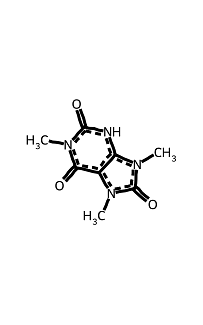 Cn1c(=O)[nH]c2c(c1=O)n(C)c(=O)n2C